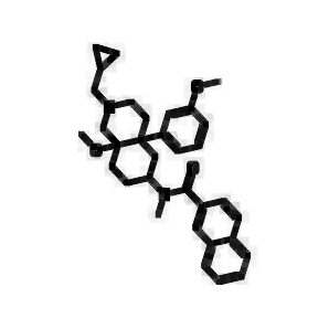 COc1cccc(C23CCN(CC4CC4)CC2(OC)CCC(N(C)C(=O)c2ccc4ccccc4c2)C3)c1